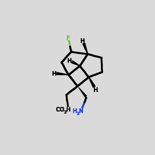 NC[C@]1(CC(=O)O)[C@@H]2CC(F)[C@@H]3CC[C@H]1[C@H]23